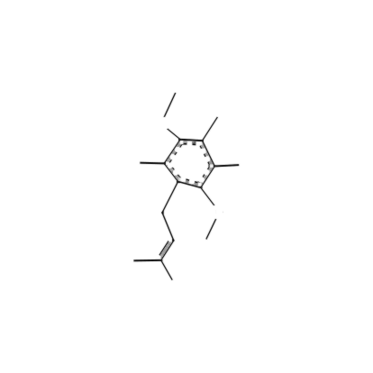 COc1c(C)c(C)c(OC)c(CC=C(C)C)c1C